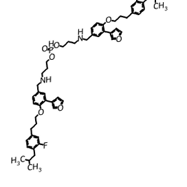 CC(C)Cc1ccc(CCCOc2ccc(CNCCCO[PH](=O)OCCCNCc3ccc(OCCCc4ccc(CC(C)C)c(F)c4)c(-c4ccoc4)c3)cc2-c2ccoc2)cc1F